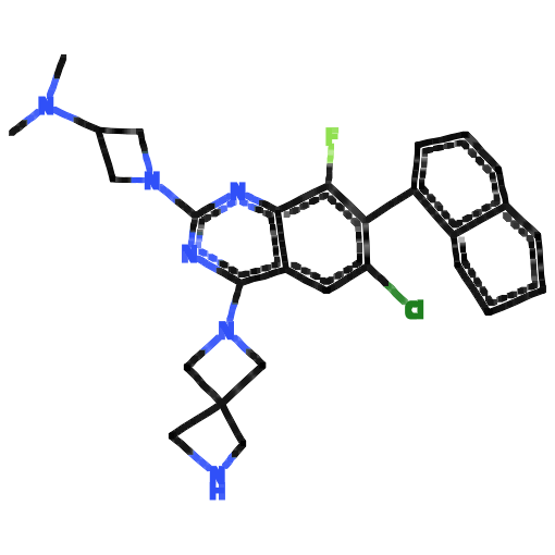 CN(C)C1CN(c2nc(N3CC4(CNC4)C3)c3cc(Cl)c(-c4cccc5ccccc45)c(F)c3n2)C1